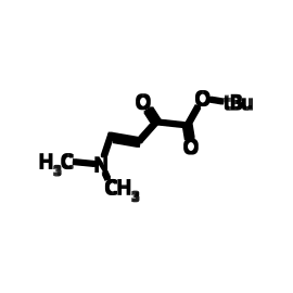 CN(C)/C=C/C(=O)C(=O)OC(C)(C)C